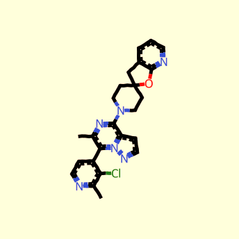 Cc1nccc(-c2c(C)nc(N3CCC4(CC3)Cc3cccnc3O4)c3ccnn23)c1Cl